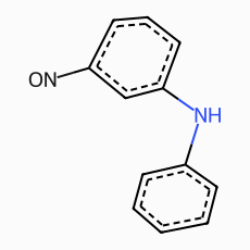 O=Nc1cccc(Nc2ccccc2)c1